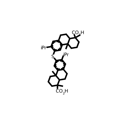 CC(C)c1cc2c(cc1Sc1cc3c(cc1C(C)C)CCC1C(C)(C(=O)O)CCCC31C)C1(C)CCCC(C)(C(=O)O)C1CC2